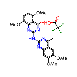 COc1cc2nc(Nc3nc(O)c4c(OC)ccc(OC)c4n3)nc(C)c2cc1OC.O=C(O)C(F)(F)F